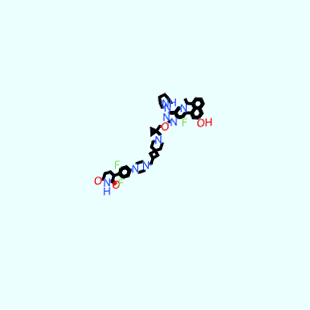 CCc1cccc2cc(O)cc(-c3ncc4c(N5CC6CCC(C5)N6)nc(OCC5(CN6CCC7(CC6)CC(CN6CCN(c8cc(F)c(C9CCC(=O)NC9=O)c(F)c8)CC6)C7)CC5)nc4c3F)c12